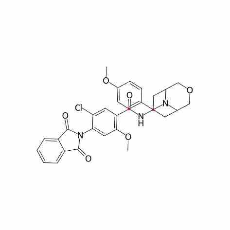 COc1ccc(CN2C3COCC2CC(NC(=O)c2cc(Cl)c(N4C(=O)c5ccccc5C4=O)cc2OC)C3)cc1